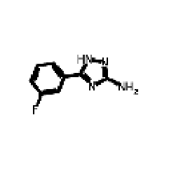 Nc1n[nH]c(-c2cccc(F)c2)n1